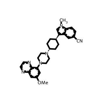 COc1cc(N2CCN([C@H]3CC[C@H](c4cn(C)c5ccc(C#N)cc54)CC3)CC2)c2nccnc2c1